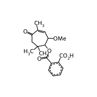 COC1C=C(C)C(=O)CC(C)(C)C1OC(=O)c1ccccc1C(=O)O